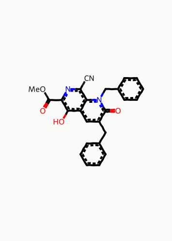 COC(=O)c1nc(C#N)c2c(cc(Cc3ccccc3)c(=O)n2Cc2ccccc2)c1O